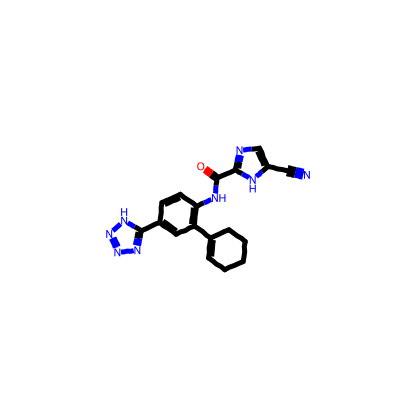 N#Cc1cnc(C(=O)Nc2ccc(-c3nnn[nH]3)cc2C2=CCCCC2)[nH]1